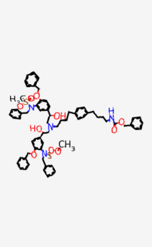 COOSN(Cc1ccccc1)c1cc([C@@H](O)CN(CCCCc2ccc(CCCCNC(=O)OCc3ccccc3)cc2)C[C@H](O)c2ccc(OCc3ccccc3)c(N(Cc3ccccc3)S(C)(=O)=O)c2)ccc1OCc1ccccc1